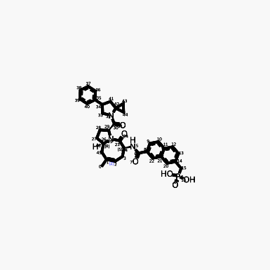 C/C1=C/C[C@H](NC(=O)c2ccc3ccc(CP(=O)(O)O)cc3c2)C(=O)N2[C@H](CC[C@H]2C(=O)N2CC(c3ccccc3)CC23CC3)C1